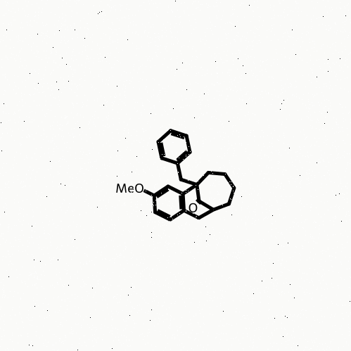 COc1ccc2c(c1)C1(Cc3ccccc3)CCCCC(C2)C1=O